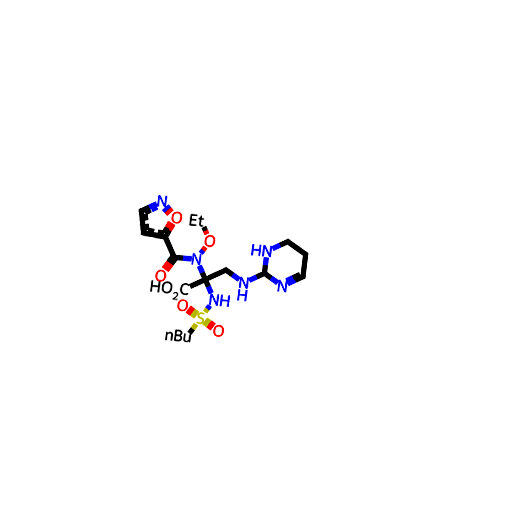 CCCCS(=O)(=O)NC(CNC1N=CCCN1)(C(=O)O)N(OCC)C(=O)c1ccno1